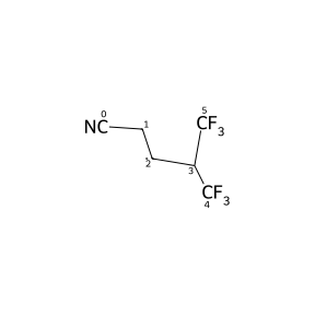 N#CC[CH]C(C(F)(F)F)C(F)(F)F